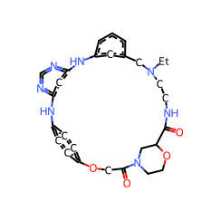 CCN1CCNC(=O)C2CN(CCO2)C(=O)COc2ccc(cc2)Nc2cc(ncn2)Nc2cccc(c2)C1